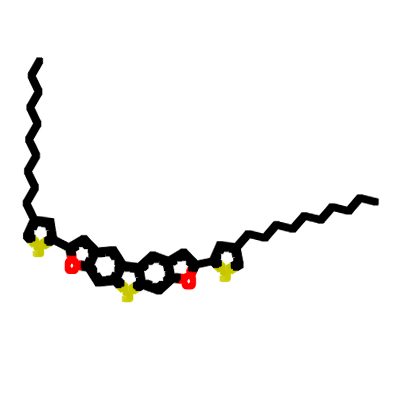 CCCCCCCCCCc1csc(-c2cc3cc4c(cc3o2)sc2cc3oc(-c5cc(CCCCCCCCCC)cs5)cc3cc24)c1